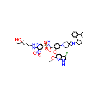 CCOc1nc2[nH]cc(F)c2cc1Oc1cc(N2CCC3(CC2)CN([C@@H]2CCC[C@@H]2c2ccccc2C(C)C)C3)ccc1C(=O)NS(=O)(=O)c1cnc(NCCCC[C@](C)(O)CC)c([N+](=O)[O-])c1